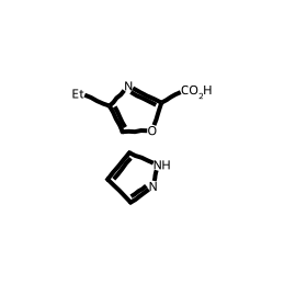 CCc1coc(C(=O)O)n1.c1cn[nH]c1